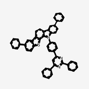 c1ccc(-c2ccc3sc4c(ccc5c6cc(-c7ccccc7)ccc6n(-c6ccc(-c7cc(-c8ccccc8)nc(-c8ccccc8)n7)cc6)c54)c3c2)cc1